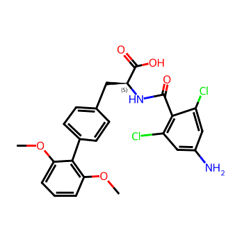 COc1cccc(OC)c1-c1ccc(C[C@H](NC(=O)c2c(Cl)cc(N)cc2Cl)C(=O)O)cc1